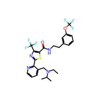 CCN(Cc1cccnc1-c1nc(C(F)(F)F)c(C(=O)NCCc2cccc(OC(F)(F)F)c2)s1)C(C)C